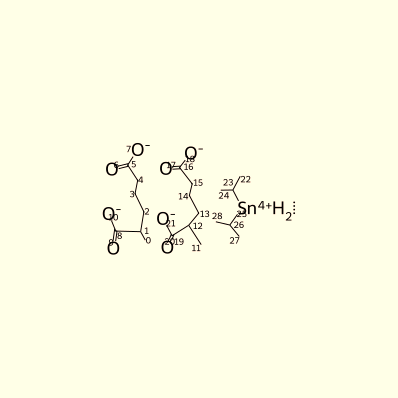 CC(CCCC(=O)[O-])C(=O)[O-].CC(CCCC(=O)[O-])C(=O)[O-].C[CH](C)[SnH2+4][CH](C)C